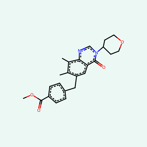 COC(=O)c1ccc(Cc2cc3c(=O)n(C4CCOCC4)cnc3c(C)c2C)cc1